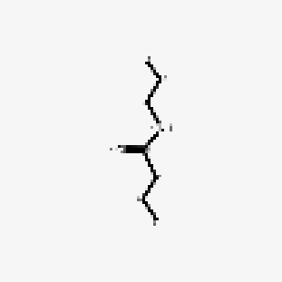 CC[CH]C(=O)NCCC